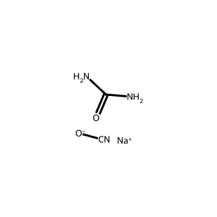 N#C[O-].NC(N)=O.[Na+]